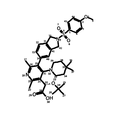 COc1ccc(S(=O)(=O)N2Cc3ccc(-c4c(C)nc(C)c([C@H](OC(C)(C)C)C(=O)O)c4N4CCC(C)(C)CC4)cc3C2)cc1